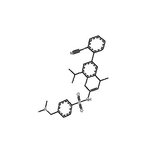 CC(C)c1cc(-c2ccccc2C#N)cc2c1CC(NS(=O)(=O)c1ccc(CN(C)C)cc1)=CC2C